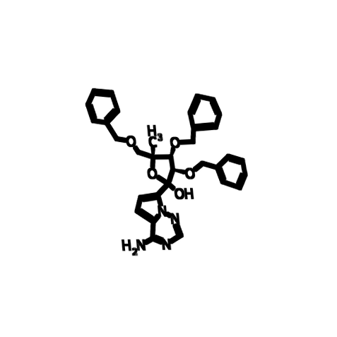 C[C@]1(COCc2ccccc2)OC(O)(c2ccc3c(N)ncnn23)[C@H](OCc2ccccc2)[C@@H]1OCc1ccccc1